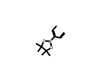 C=C/C(=C\C)B1OC(C)(C)C(C)(C)O1